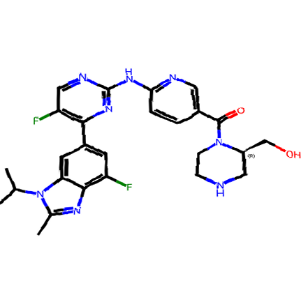 Cc1nc2c(F)cc(-c3nc(Nc4ccc(C(=O)N5CCNC[C@@H]5CO)cn4)ncc3F)cc2n1C(C)C